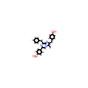 Cc1c(Cc2ccc(O)cc2)nc2c(Cc3ccccc3)nc(-c3ccc(O)cc3)cn12